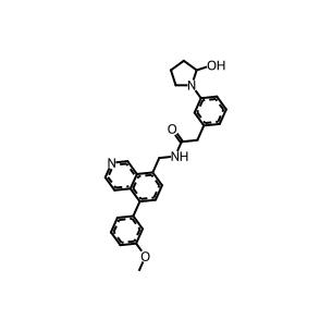 COc1cccc(-c2ccc(CNC(=O)Cc3cccc(N4CCCC4O)c3)c3cnccc23)c1